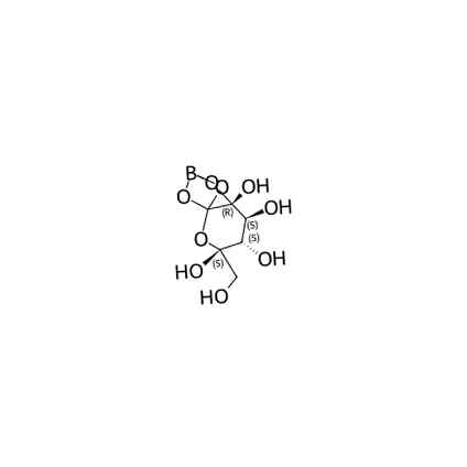 OC[C@]1(O)OC23OB(O2)O[C@]3(O)[C@@H](O)[C@@H]1O